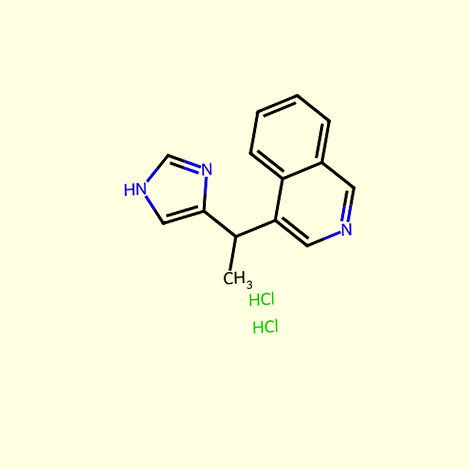 CC(c1c[nH]cn1)c1cncc2ccccc12.Cl.Cl